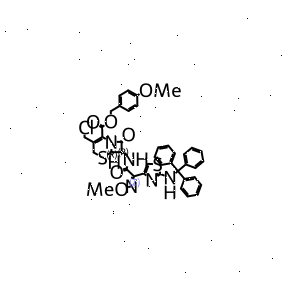 CO/N=C(\C(=O)N[C@@H]1C(=O)N2C(C(=O)OCc3ccc(OC)cc3)=C(CCl)CS[C@H]12)c1csc(NC(c2ccccc2)(c2ccccc2)c2ccccc2)n1